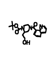 CC(C)(C)OC(=O)N1CCN(C(=O)c2cccc3cccnc23)CC1CCO